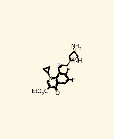 CCOC(=O)c1cn(C2CC2)c2c(/C=C\C[C@H]3C[C@H](N)CN3)c(F)c(F)cc2c1=O